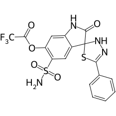 NS(=O)(=O)c1cc2c(cc1OC(=O)C(F)(F)F)NC(=O)C21NN=C(c2ccccc2)S1